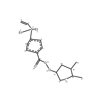 C=C[Si](CC)(CC)c1ccc(C(=O)OO[C]2CCC(C)C(C)C2)cc1